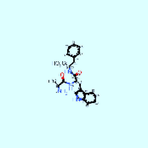 CC(C)[C@H](N)C(=O)N[C@@H](Cc1c[nH]c2ccccc12)C(=O)N[C@@H](Cc1ccccc1)C(=O)O